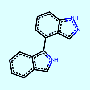 [c]1n[nH]c2cccc(-c3[nH]cc4ccccc34)c12